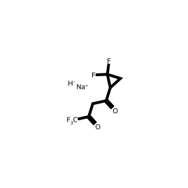 O=C(CC(=O)C(F)(F)F)C1CC1(F)F.[H-].[Na+]